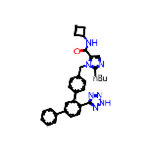 CCCCc1ncc(C(=O)NC2CCC2)n1Cc1ccc(-c2cc(-c3ccccc3)ccc2-c2nn[nH]n2)cc1